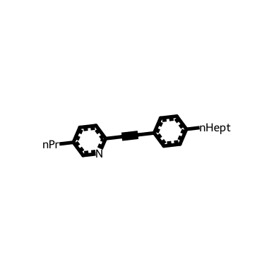 CCCCCCCc1ccc(C#Cc2ccc(CCC)cn2)cc1